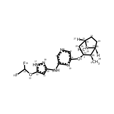 C[C@H]1[C@@H](Oc2cncc(Nc3cc(OC(F)F)[nH]n3)n2)C[C@@H]2CC[C@H]1N2C